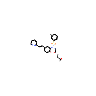 COC(=O)CC[C@H]1CN(S(=O)(=O)c2cccc(C(F)(F)F)c2)c2cc(/C=C/c3ccccn3)ccc2O1